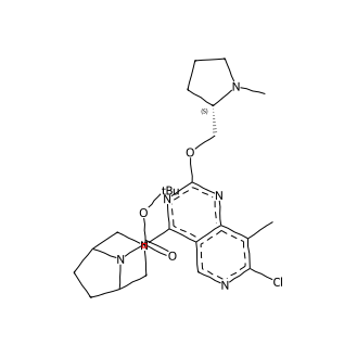 Cc1c(Cl)ncc2c(N3CC4CCC(C3)N4C(=O)OC(C)(C)C)nc(OC[C@@H]3CCCN3C)nc12